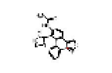 NC(=O)Nc1ccc(-c2ccoc2)c(-c2ccccc2CF)c1-c1nnn[nH]1